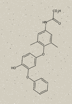 Cc1cc(NC(=O)C(=O)O)cc(C)c1Oc1ccc(O)c(Oc2ccccc2)c1